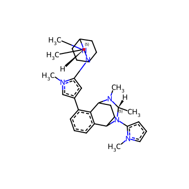 C[C@H]1N(C)C2CCC(CC2)N1c1cc(-c2cccc3c2C2CCC3N(c3cccn3C)[C@@H](C)N2C)cn1C